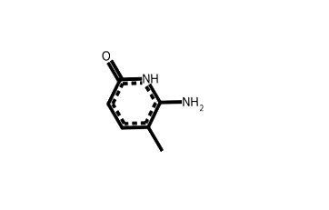 Cc1ccc(=O)[nH]c1N